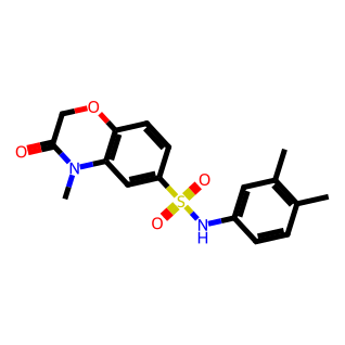 Cc1ccc(NS(=O)(=O)c2ccc3c(c2)N(C)C(=O)CO3)cc1C